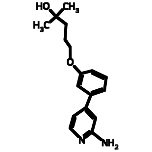 CC(C)(O)CCCOc1cccc(-c2ccnc(N)c2)c1